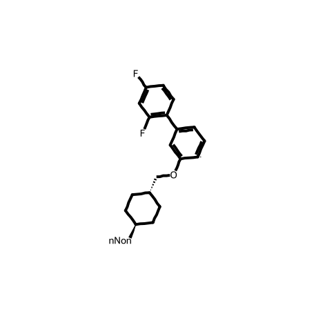 CCCCCCCCC[C@H]1CC[C@H](COc2[c]ccc(-c3ccc(F)cc3F)c2)CC1